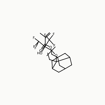 C=C(C)C(=O)OCC12CC3CC(C1)C(CC)(OC(C)(C)C(O)(C(F)(F)F)C(F)(F)F)C(C3)C2